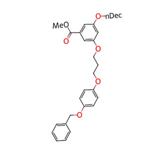 CCCCCCCCCCOc1cc(OCCCOc2ccc(OCc3ccccc3)cc2)cc(C(=O)OC)c1